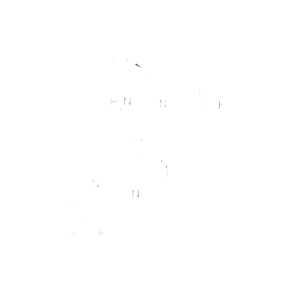 C[C@H]1CC[C@@](C)(c2cc(NC(=O)c3cnc(C(F)(F)F)cn3)ccc2F)N=C1N